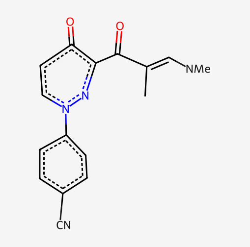 CN/C=C(\C)C(=O)c1nn(-c2ccc(C#N)cc2)ccc1=O